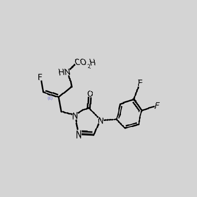 O=C(O)NC/C(=C\F)Cn1ncn(-c2ccc(F)c(F)c2)c1=O